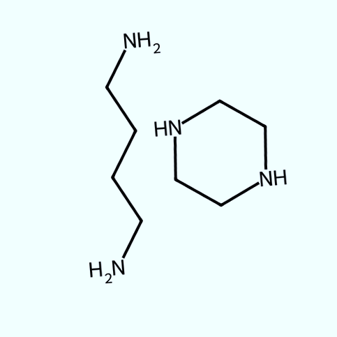 C1CNCCN1.NCCCCN